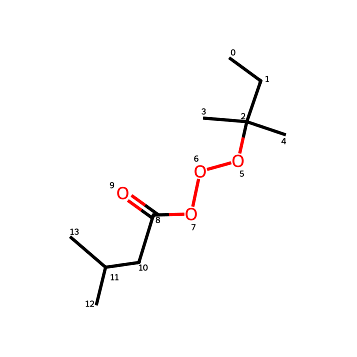 CCC(C)(C)OOOC(=O)CC(C)C